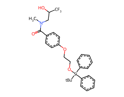 CN(CC(O)C(F)(F)F)C(=O)c1ccc(OCCO[Si](c2ccccc2)(c2ccccc2)C(C)(C)C)cc1